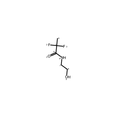 CC(F)(F)C(=O)NCCO